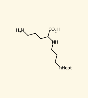 CCCCCCCCCCNC(CCCN)C(=O)O